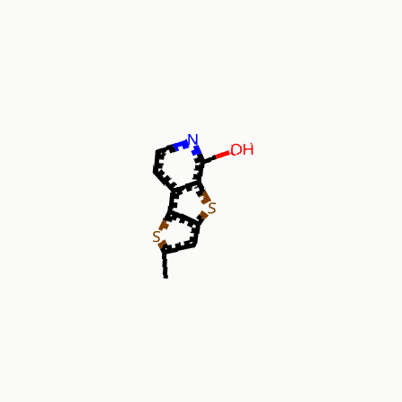 Cc1cc2sc3c(O)nccc3c2s1